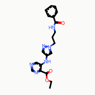 CCOC(=O)c1ncncc1Nc1cnn(CCCNC(=O)c2ccccc2)c1